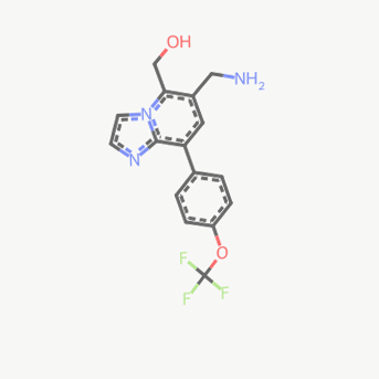 NCc1cc(-c2ccc(OC(F)(F)F)cc2)c2nccn2c1CO